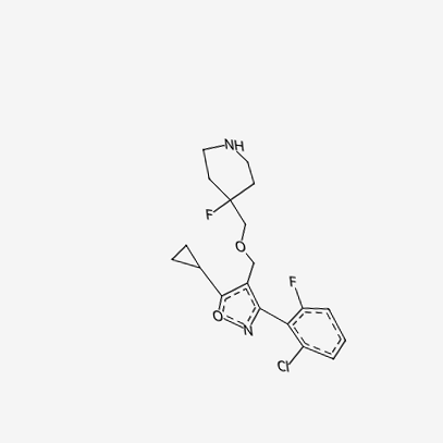 Fc1cccc(Cl)c1-c1noc(C2CC2)c1COCC1(F)CCNCC1